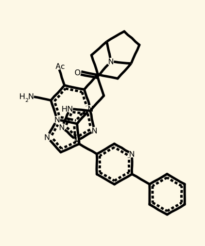 CC(=O)c1c(C2CC3CCC(C2)N3C(=O)Cc2nnn[nH]2)nc2c(-c3ccc(-c4ccccc4)nc3)cnn2c1N